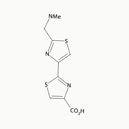 CNCc1nc(-c2nc(C(=O)O)cs2)cs1